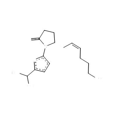 CC(O)c1ccc(N2C(=O)CC[C@@H]2C/C=C\CCCC(=O)O)o1